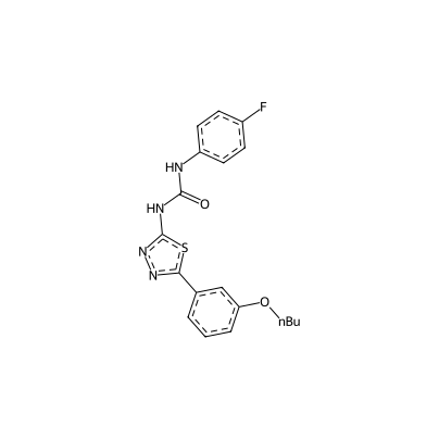 CCCCOc1cccc(-c2nnc(NC(=O)Nc3ccc(F)cc3)s2)c1